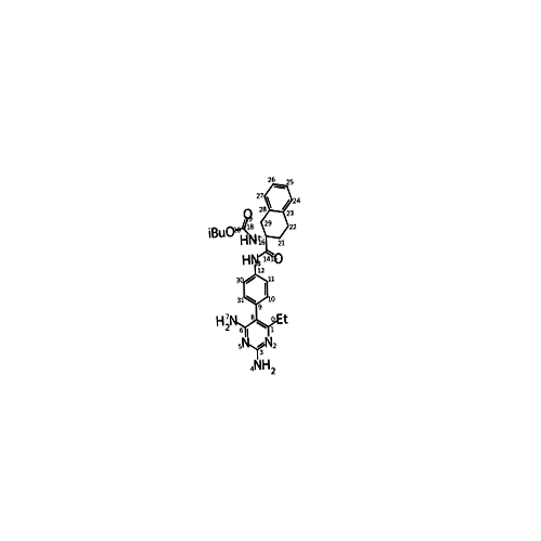 CCc1nc(N)nc(N)c1-c1ccc(NC(=O)[C@]2(NC(=O)OCC(C)C)CCc3ccccc3C2)cc1